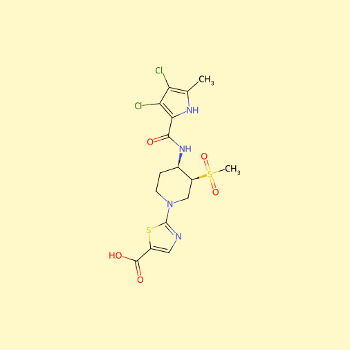 Cc1[nH]c(C(=O)N[C@@H]2CCN(c3ncc(C(=O)O)s3)C[C@@H]2S(C)(=O)=O)c(Cl)c1Cl